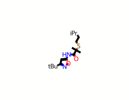 CC(C)CCSC(C)(C)C(=O)Nc1cc(C(C)(C)C)no1